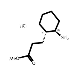 COC(=O)CC[C@@H]1CCCC[C@H]1N.Cl